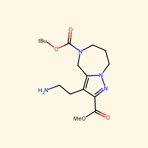 COC(=O)c1nn2c(c1CCN)CN(C(=O)OC(C)(C)C)CCC2